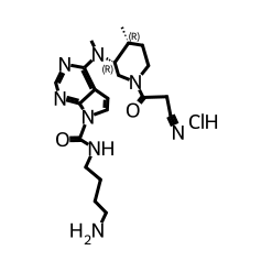 C[C@@H]1CCN(C(=O)CC#N)C[C@@H]1N(C)c1ncnc2c1ccn2C(=O)NCCCCN.Cl